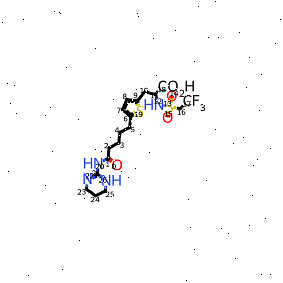 O=C(CCCCc1ccc(CC(NS(=O)(=O)CC(F)(F)F)C(=O)O)s1)NC1=NCCCN1